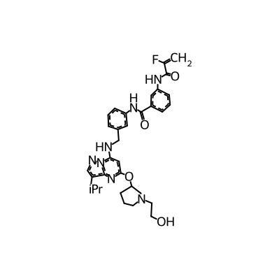 C=C(F)C(=O)Nc1cccc(C(=O)Nc2cccc(CNc3cc(OC4CCCN(CCO)C4)nc4c(C(C)C)cnn34)c2)c1